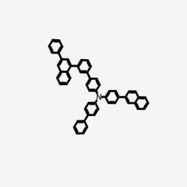 c1ccc(-c2ccc(N(c3ccc(-c4cccc(-c5cc(-c6ccccc6)cc6ccccc56)c4)cc3)c3ccc(-c4ccc5ccccc5c4)cc3)cc2)cc1